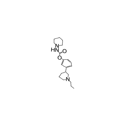 CCCN1CCCC(c2cccc(OC(=O)NN3CCCCC3)c2)C1